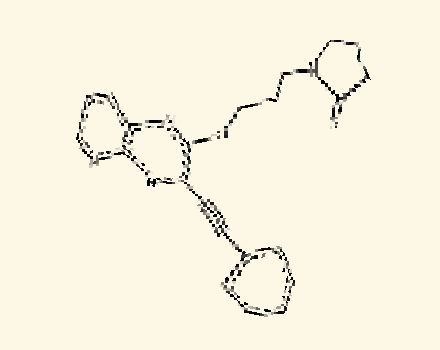 O=C1CCCN1CCCOc1nc2cccnc2nc1C#Cc1ccccc1